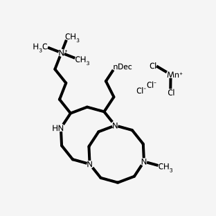 CCCCCCCCCCCCC1CC(CCC[N+](C)(C)C)NCCN2CCCN(C)CCN1CC2.[Cl-].[Cl-].[Cl][Mn+][Cl]